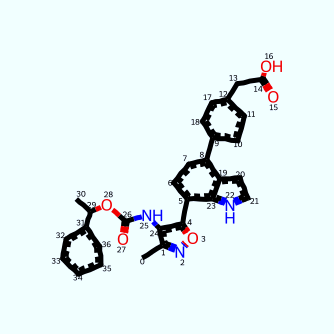 Cc1noc(-c2ccc(-c3ccc(CC(=O)O)cc3)c3cc[nH]c23)c1NC(=O)OC(C)c1ccccc1